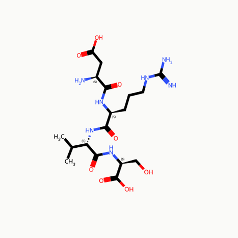 CC(C)[C@H](NC(=O)[C@H](CCCNC(=N)N)NC(=O)[C@@H](N)CC(=O)O)C(=O)N[C@@H](CO)C(=O)O